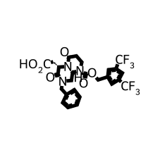 O=C(O)C[C@H]1C(=O)N(Cc2ccccc2)C[C@@H]2N(C(=O)OCc3cc(C(F)(F)F)cc(C(F)(F)F)c3)CCC(=O)N21